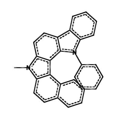 Cn1c2ccc3ccccc3c2c2c1ccc1c3ccccc3n(-c3ccccc3)c12